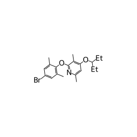 CCC(CC)Oc1cc(C)nc(Oc2c(C)cc(Br)cc2C)c1C